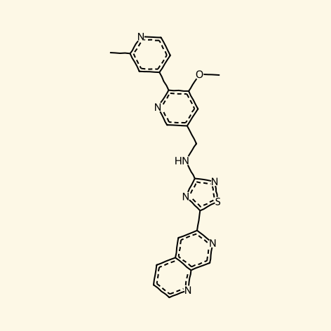 COc1cc(CNc2nsc(-c3cc4cccnc4cn3)n2)cnc1-c1ccnc(C)c1